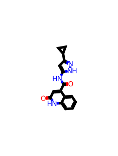 O=C(Nc1cc(C2CC2)n[nH]1)c1cc(=O)[nH]c2ccccc12